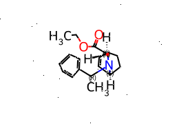 CCOC(=O)[C@@H]1[C@H]2C=C[C@H](CC2)N1[C@H](C)c1ccccc1